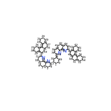 c1cc(-c2ccc3ccc4ccc(-c5cc6ccc7ccccc7c6c6ccccc56)nc4c3n2)cc(-c2ccc3ccc4ccc(-c5cc6ccc7ccccc7c6c6ccccc56)nc4c3n2)c1